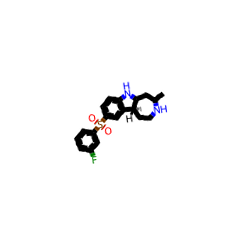 CC1CC2Nc3ccc(S(=O)(=O)c4cccc(F)c4)cc3[C@H]2CCN1